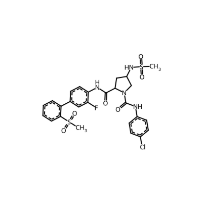 CS(=O)(=O)NC1CC(C(=O)Nc2ccc(-c3ccccc3S(C)(=O)=O)cc2F)N(C(=O)Nc2ccc(Cl)cc2)C1